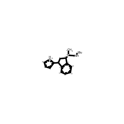 [CH3][Ti]([NH]C(C)(C)C)[CH]1CC(c2ccc[nH]2)c2ccccc21